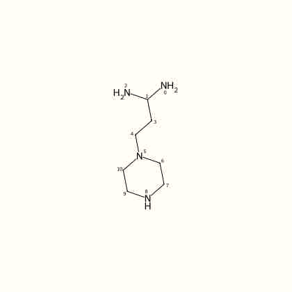 NC(N)CCN1CCNCC1